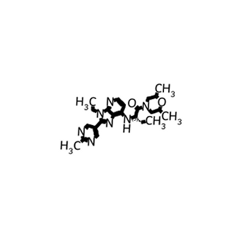 CC[C@H](Nc1ccnc2c1nc(-c1cnc(C)nc1)n2CC)C(=O)N1CC(C)OC(C)C1